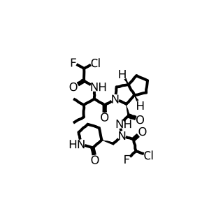 CCC(C)C(NC(=O)C(F)Cl)C(=O)N1C[C@@H]2CCC[C@@H]2[C@H]1C(=O)NN(C[C@@H]1CCCNC1=O)C(=O)C(F)Cl